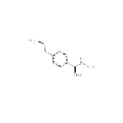 C=CCc1ccc(C(=N)NO)cc1